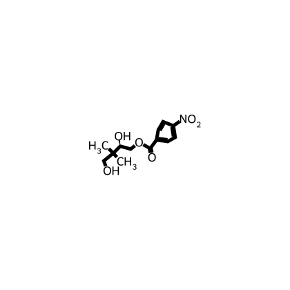 CC(C)(CO)[C@H](O)COC(=O)c1ccc([N+](=O)[O-])cc1